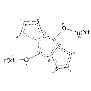 CCCCCCCCOc1c2ccsc2c(OCCCCCCCC)c2ccsc12